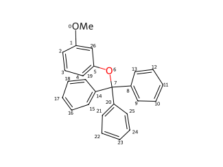 COc1cccc(OC(c2ccccc2)(c2ccccc2)c2ccccc2)c1